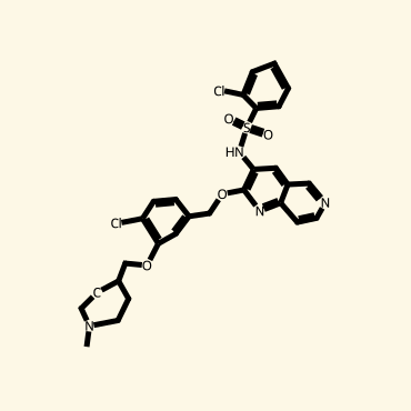 CN1CCC(COc2cc(COc3nc4ccncc4cc3NS(=O)(=O)c3ccccc3Cl)ccc2Cl)CC1